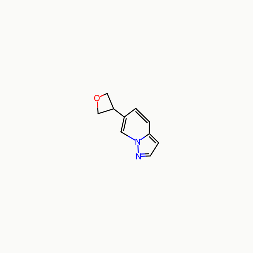 c1cc2ccc(C3COC3)cn2n1